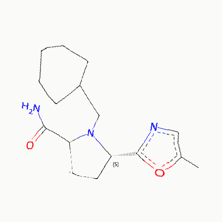 Cc1cnc([C@@H]2C[CH]C(C(N)=O)N2CC2CCCCC2)o1